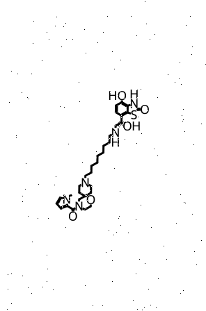 Cn1cccc1C(=O)N1CCOC2(CCN(CCCCCCCCCNC[C@H](O)c3ccc(O)c4[nH]c(=O)sc34)CC2)C1